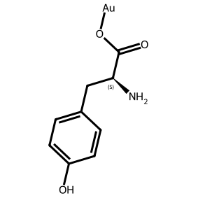 N[C@@H](Cc1ccc(O)cc1)C(=O)[O][Au]